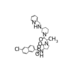 CC(C(=O)N1CCCC(NCc2ccccn2)C1)N1CCC(NS(=O)(=O)c2ccc3cc(Cl)ccc3c2)C1=O